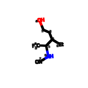 CCC(CCO)C(NN=O)C(F)(F)F